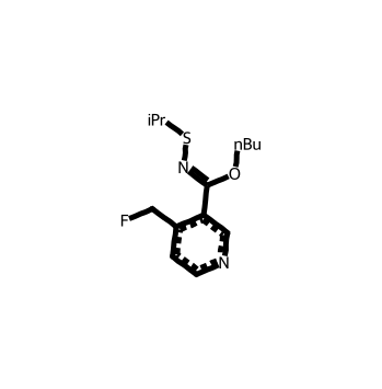 CCCCO/C(=N\SC(C)C)c1cnccc1CF